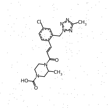 Cc1nnn(Cc2cc(Cl)ccc2C=CC(=O)N2CCN(C(=O)O)CC2C)n1